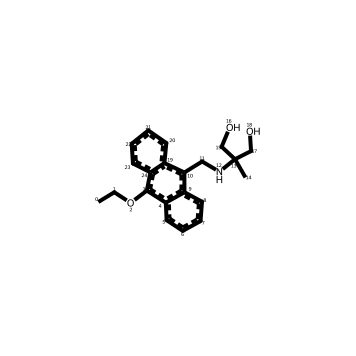 CCOc1c2ccccc2c(CNC(C)(CO)CO)c2ccccc12